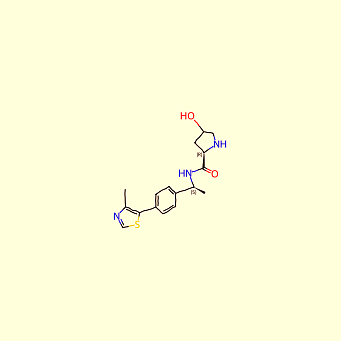 Cc1ncsc1-c1ccc([C@H](C)NC(=O)[C@H]2CC(O)CN2)cc1